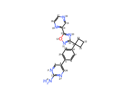 Nc1ncc(-c2ccc(C3(c4noc(-c5cnccn5)n4)CCC3)cc2)cn1